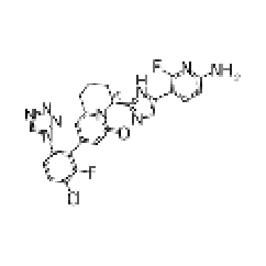 Nc1ccc(-c2cnc([C@@H]3CCCc4cc(-c5c(-n6cnnn6)ccc(Cl)c5F)cc(=O)n43)[nH]2)c(F)n1